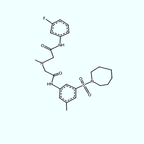 Cc1cc(NC(=O)CN(C)CC(=O)Nc2cccc(F)c2)cc(S(=O)(=O)N2CCCCCC2)c1